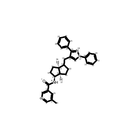 Cc1cncc(C(=O)N[C@H]2CC[C@H]3C(Cc4cn(-c5ccccc5)nc4-c4ccccc4)CC[C@@H]23)c1